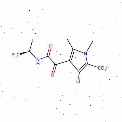 Cc1c(C(=O)C(=O)N[C@H](C)C(F)(F)F)c(Cl)c(C(=O)O)n1C